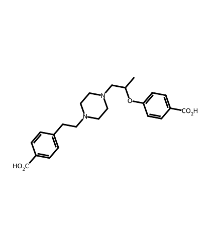 CC(CN1CCN(CCc2ccc(C(=O)O)cc2)CC1)Oc1ccc(C(=O)O)cc1